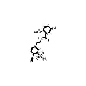 C#Cc1ccc(CCNC(=O)c2cc(Cl)ccc2OC)cc1S(N)(=O)=O